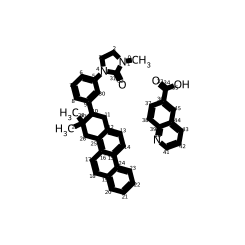 CN1CCN(c2cccc(C3Cc4ccc5c(ccc6ccccc65)c4CC3(C)C)c2)C1=O.O=C(O)c1ccc2ncccc2c1